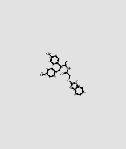 CC(NC(=O)CSc1nc2ccccc2s1)C(Cc1ccc(Cl)cc1)c1ccc(Cl)cc1